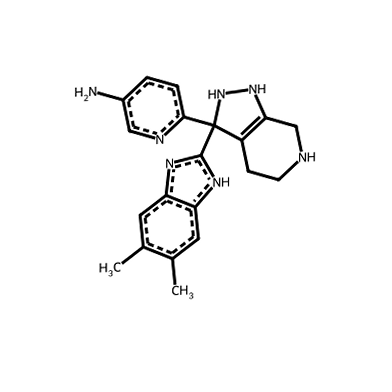 Cc1cc2nc(C3(c4ccc(N)cn4)NNC4=C3CCNC4)[nH]c2cc1C